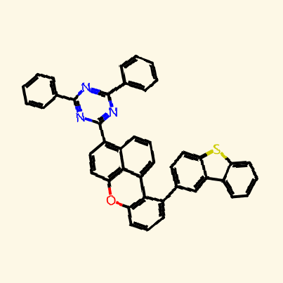 c1ccc(-c2nc(-c3ccccc3)nc(-c3ccc4c5c(cccc35)-c3c(cccc3-c3ccc5sc6ccccc6c5c3)O4)n2)cc1